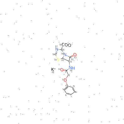 O=C(COc1ccccc1)NC1C(=O)N2C(C(=O)[O-])N=CSC12.[K+]